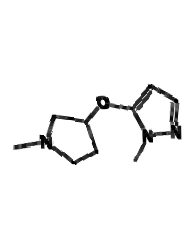 CN1CCC(Oc2ccnn2C)C1